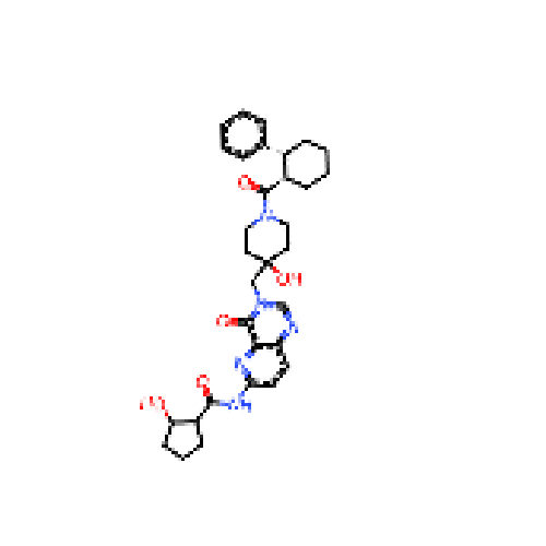 O=C(Nc1ccc2ncn(CC3(O)CCN(C(=O)[C@@H]4CCCC[C@H]4c4ccccc4)CC3)c(=O)c2n1)C1CCCC1O